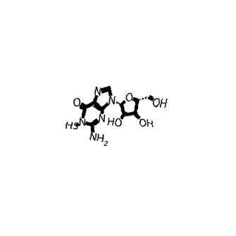 Nc1nc2c(ncn2[C@@H]2O[C@H](CO)C(O)C2O)c(=O)n1S